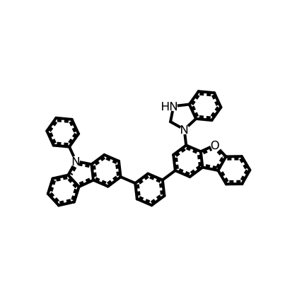 c1ccc(-n2c3ccccc3c3cc(-c4cccc(-c5cc(N6CNc7ccccc76)c6oc7ccccc7c6c5)c4)ccc32)cc1